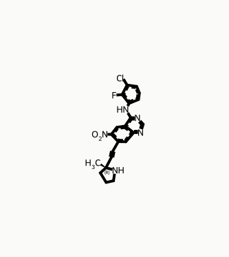 C[C@]1(C#Cc2cc3ncnc(Nc4cccc(Cl)c4F)c3cc2[N+](=O)[O-])CCCN1